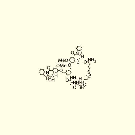 COc1cc2c(cc1OCc1cc(COc3cc4c(cc3OC)C(=O)N3c5ccccc5C[C@H]3C(O)N4)cc(NC(=O)[C@H](C)NC(=O)[C@@H](NC(=O)CCC(C)(C)SSCCCC(N)=O)C(C)C)c1)NC[C@@H]1Cc3ccccc3N1C2=O